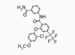 COc1ccc(Oc2cc(C(F)(F)C(F)(F)F)ccc2C(=O)Nc2cccc(C(N)=O)c2)c(Cl)c1